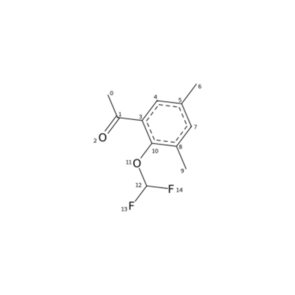 CC(=O)c1cc(C)cc(C)c1OC(F)F